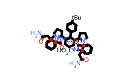 CC(C)(C)c1ccc(C2=C(C3CCCN3[C@@]3(C(=O)NC(=O)O)c4ccc(cc4)C3(C)CC(N)=O)CCCC2C2CCCN2[C@@]2(C(=O)NC(=O)O)c3ccc(cc3)C2(C)CC(N)=O)cc1